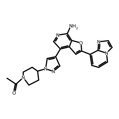 CC(=O)N1CCC(n2cc(-c3cnc(N)c4oc(-c5cccn6ccnc56)cc34)cn2)CC1